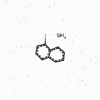 Ic1cccc2ccccc12.[SiH4]